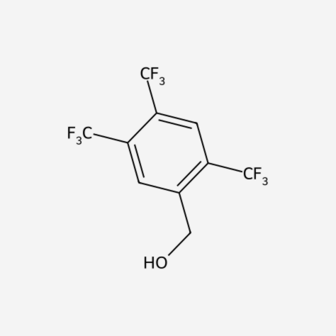 OCc1cc(C(F)(F)F)c(C(F)(F)F)cc1C(F)(F)F